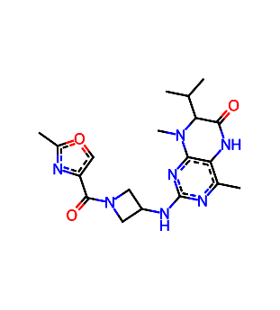 Cc1nc(C(=O)N2CC(Nc3nc(C)c4c(n3)N(C)C(C(C)C)C(=O)N4)C2)co1